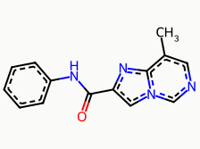 Cc1cncn2cc(C(=O)Nc3ccccc3)nc12